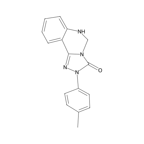 Cc1ccc(-n2nc3n(c2=O)CNc2ccccc2-3)cc1